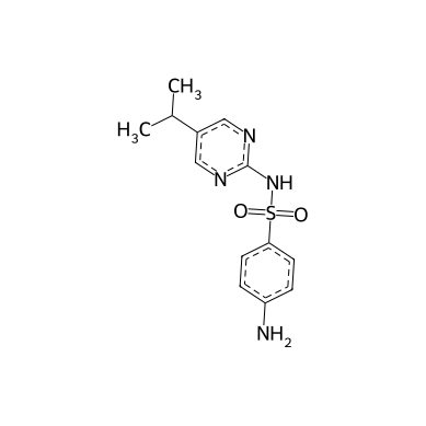 CC(C)c1cnc(NS(=O)(=O)c2ccc(N)cc2)nc1